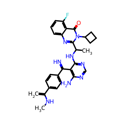 C=C(NC)c1ccc(C(=N)c2c(N)ncnc2NC(C)c2nc3cccc(F)c3c(=O)n2C2CCC2)cc1